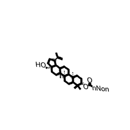 C=C(C)[C@@H]1CC[C@]2(CO)CC[C@]3(C)C(CCC4[C@@]5(C)CC[C@H](OC(=O)CCCCCCCCC)C(C)(C)C5CC[C@]43C)C12